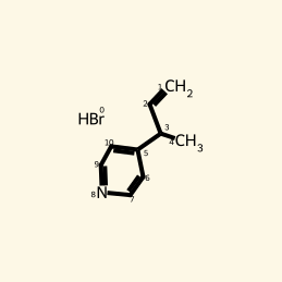 Br.C=CC(C)c1ccncc1